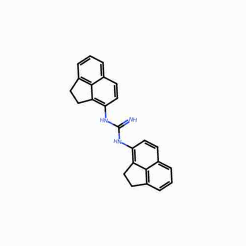 N=C(Nc1ccc2cccc3c2c1CC3)Nc1ccc2cccc3c2c1CC3